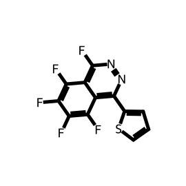 Fc1c(F)c(F)c2c(-c3cccs3)nnc(F)c2c1F